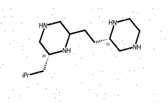 CC(C)C[C@@H]1CNCC(CC[C@H]2CNCCN2)N1